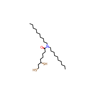 CCCCCCCCCCN(CCCCCCCCCC)C(=O)CCCCC(S)CCS